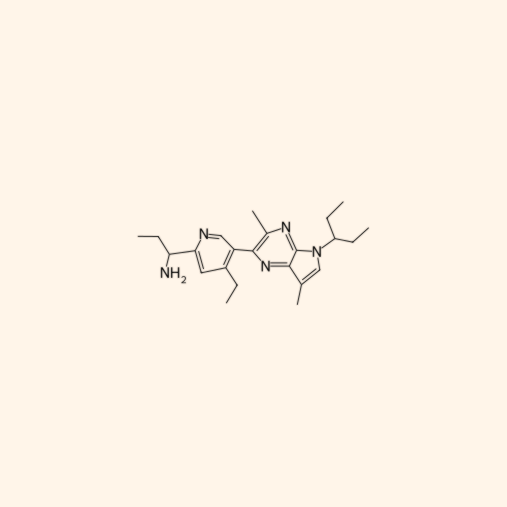 CCc1cc(C(N)CC)ncc1-c1nc2c(C)cn(C(CC)CC)c2nc1C